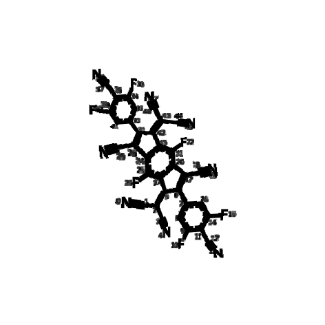 N#CC(C#N)=C1C(c2cc(F)c(C#N)c(F)c2)=C(C#N)c2c(F)c3c(c(F)c21)C(C#N)=C(c1cc(F)c(C#N)c(F)c1)C3=C(C#N)C#N